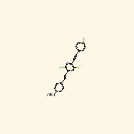 CCCCc1ccc(C#Cc2cc(F)c(C#Cc3ccc(C)cc3)cc2F)cc1